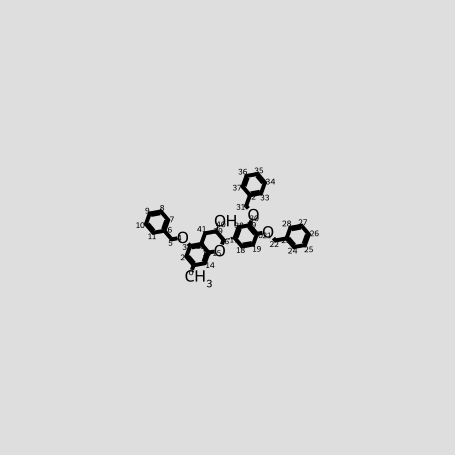 Cc1cc(OCc2ccccc2)c2c(c1)O[C@@H](c1ccc(OCc3ccccc3)c(OCc3ccccc3)c1)[C@@H](O)C2